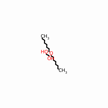 CCCCCCCCOCCCCCCCC.OCCO